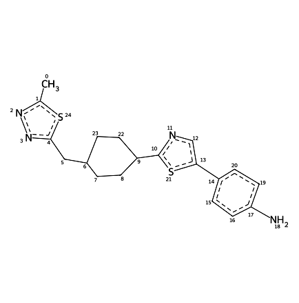 Cc1nnc(CC2CCC(c3ncc(-c4ccc(N)cc4)s3)CC2)s1